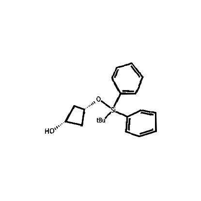 CC(C)(C)[Si](O[C@H]1C[C@@H](O)C1)(c1ccccc1)c1ccccc1